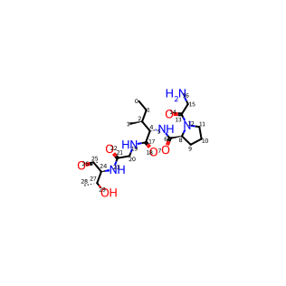 CC[C@H](C)[C@H](NC(=O)[C@@H]1CCCN1C(=O)CN)C(=O)NCC(=O)N[C@H]([C]=O)[C@@H](C)O